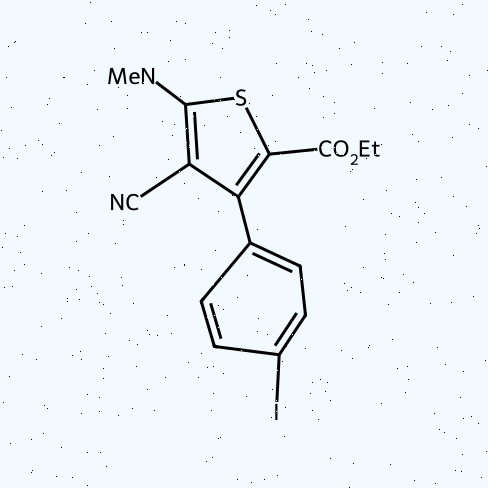 CCOC(=O)c1sc(NC)c(C#N)c1-c1ccc(I)cc1